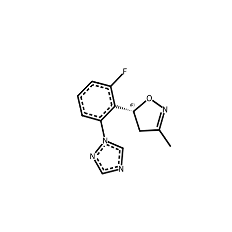 CC1=NO[C@@H](c2c(F)cccc2-n2cncn2)C1